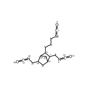 O=C=NCCCC1C(CN=C=O)C2CC(CN=C=O)C1C2